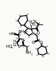 C[C@H](N)C(=O)[C@@]1(C(=O)O)C(C2CCCCC2)CCN1CC(=O)OC1CCCCC1.Cl.Cl.N=C(N)c1csc(CN)n1